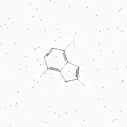 CC1=Cc2c(C(C)C)ccc(C)c2C1